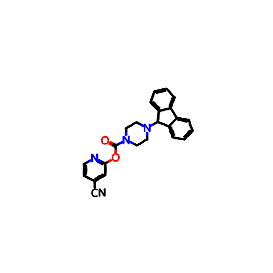 N#Cc1ccnc(OC(=O)N2CCN(C3c4ccccc4-c4ccccc43)CC2)c1